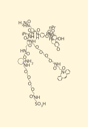 CCCC1O[C@@H]2CC3[C@@H]4CCC5=CC(=O)C=C[C@]5(C)C4[C@@H](O)C[C@]3(C)[C@]2(C(=O)COc2ccc(NC(=O)[C@H](CCCNC(N)=O)NC(=O)[C@@H](NC(=O)[C@@H](CCCCNC(=O)COC3CCCCC/C(NCCOCCOCCOCCOCCC(=O)NCCS(=O)(=O)O)=C\3N)NC(=O)CCOCCOCCOCCOCCNC(=O)CCC(=O)N3Cc4ccccc4C#Cc4ccccc43)C(C)C)cc2)O1